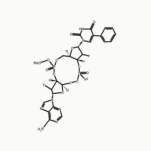 COOP1(=O)OC[C@H]2O[C@@H](n3cc(-c4ccccc4)c(=O)[nH]c3=O)C(F)[C@@H]2OP(=O)(S)OC[C@H]2O[C@@H](n3cnc4c(N)ncnc43)C(F)[C@@H]2O1